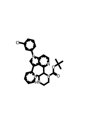 CC1NCCN(C(=O)OC(C)(C)C)C1c1nccc2c1c(-c1ccccn1)cn2-c1cccc(Cl)c1